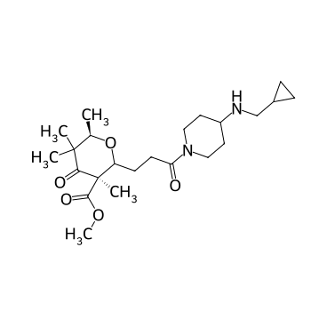 COC(=O)[C@@]1(C)C(=O)C(C)(C)[C@@H](C)OC1CCC(=O)N1CCC(NCC2CC2)CC1